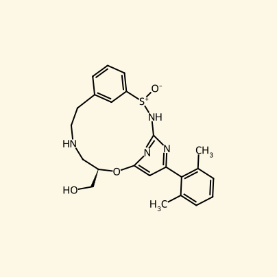 Cc1cccc(C)c1-c1cc2nc(n1)N[S+]([O-])c1cccc(c1)CCNC[C@H](CO)O2